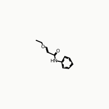 CCO/C=C/C(=O)Nc1ccccc1